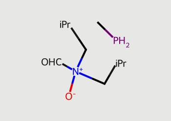 CC(C)C[N+]([O-])(C=O)CC(C)C.CP